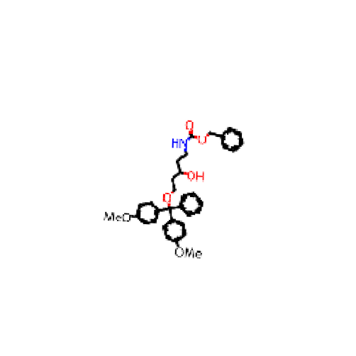 COc1ccc(C(OCCC(O)CCNC(=O)OCc2ccccc2)(c2ccccc2)c2ccc(OC)cc2)cc1